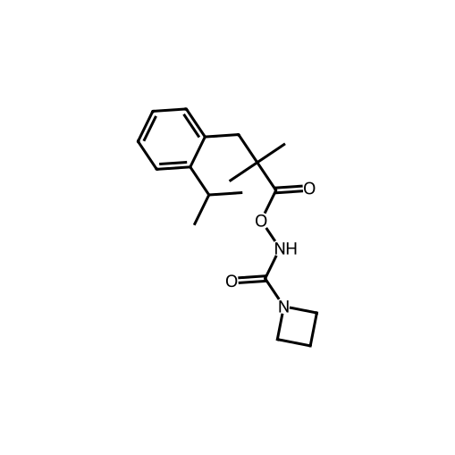 CC(C)c1ccccc1CC(C)(C)C(=O)ONC(=O)N1CCC1